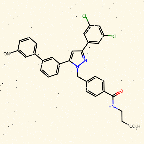 O=Nc1cccc(-c2cccc(-c3cc(-c4cc(Cl)cc(Cl)c4)nn3Cc3ccc(C(=O)NCCC(=O)O)cc3)c2)c1